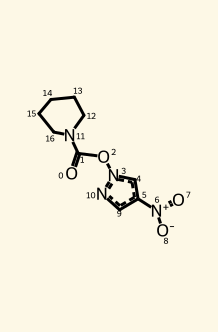 O=C(On1cc([N+](=O)[O-])cn1)N1CCCCC1